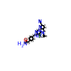 N#Cc1ccc(CN(c2ncnc(NCc3ccc(CC(N)=O)cc3)c2F)C2CC2)cn1